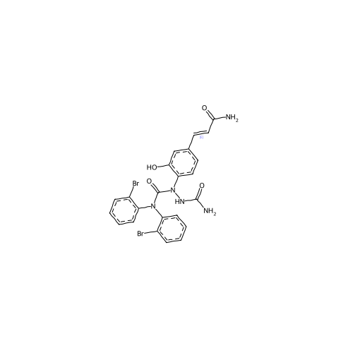 NC(=O)/C=C/c1ccc(N(NC(N)=O)C(=O)N(c2ccccc2Br)c2ccccc2Br)c(O)c1